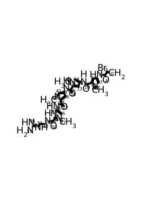 C=C(Br)C(=O)Nc1cc(C(=O)Nc2cc(C(=O)Nc3cc(C(=O)Nc4cn(C)c(C(=O)NCCNC(=N)N)n4)n(C)c3)n(C)c2)n(C)c1